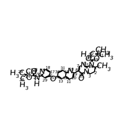 CC1CCn2c(ncc(-c3ccc4cc(Oc5ccnc(NC(=O)OC(C)(C)C)c5)ccc4n3)c2=O)N1C(=O)OC(C)(C)C